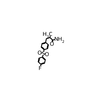 CC(Cc1ccc(S(=O)(=O)c2ccc(F)cc2)cc1)C(N)=O